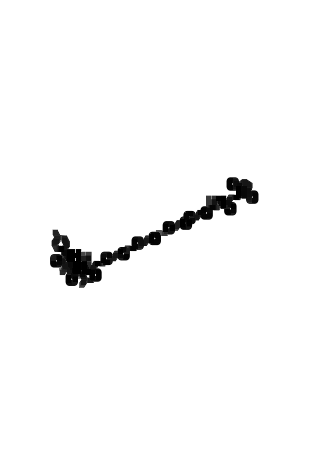 Cc1ccc(NC(=O)[C@H](C)NC(=O)[C@@H](NC(=O)CCOCCOCCOCCOCCOCCOOCCOCCNC(=O)CCN2C(=O)C=CC2=O)C(C)C)cc1